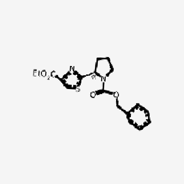 CCOC(=O)c1csc([C@H]2CCCN2C(=O)OCc2ccccc2)n1